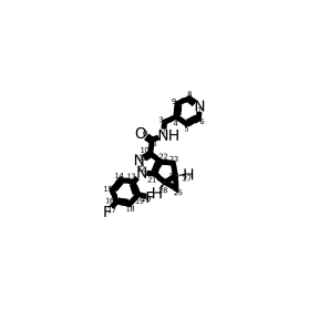 O=C(NCc1ccncc1)c1nn(-c2ccc(F)cc2F)c2c1C[C@H]1C[C@@H]21